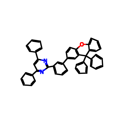 c1ccc(-c2cc(-c3ccccc3)nc(-c3cccc(-c4ccc5c(c4)C(c4ccccc4)(c4ccccc4)c4ccccc4O5)c3)n2)cc1